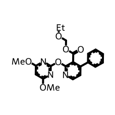 CCOCOC(=O)c1c(-c2ccccc2)ccnc1Oc1nc(OC)cc(OC)n1